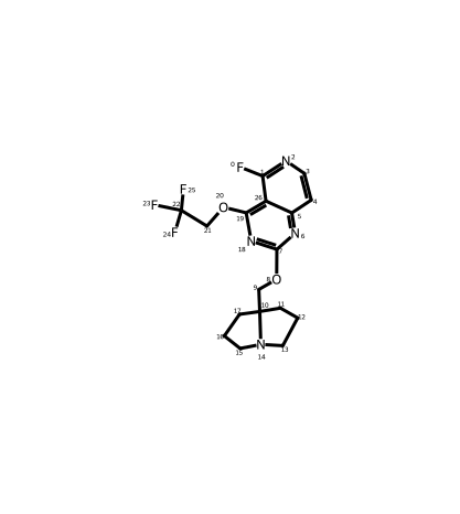 Fc1nccc2nc(OCC34CCCN3CCC4)nc(OCC(F)(F)F)c12